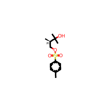 Cc1ccc(S(=O)(=O)OC[C@@H](C)C(C)(C)O)cc1